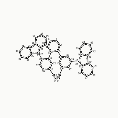 N#Cc1cc(-c2ccccc2-c2cc(C#N)ccc2-n2c3ccccc3c3ccccc32)cc(-n2c3ccccc3c3ccccc32)c1